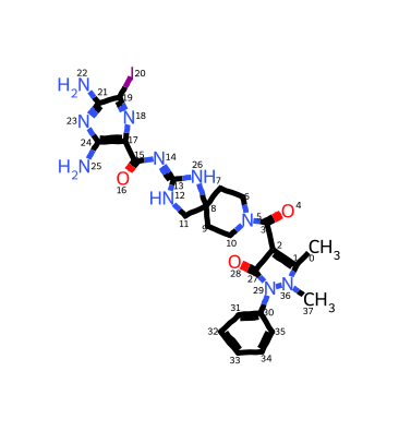 Cc1c(C(=O)N2CCC3(CC2)CN/C(=N\C(=O)c2nc(I)c(N)nc2N)N3)c(=O)n(-c2ccccc2)n1C